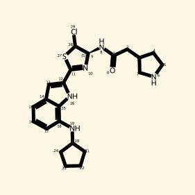 O=C(CC1CCNC1)N[C@H]1N=C(c2cc3cccc(NC4CCCC4)c3[nH]2)SC1Cl